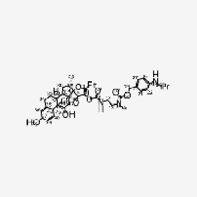 CCC(=O)O[C@]1(C(=O)COC(=O)NCCN(C)C(=O)OCc2ccc(NC(C)C)cc2)[C@@H](C)CC2[C@@H]3CCC4=CC(O)C=C[C@]4(C)[C@@]3(Cl)[C@@H](O)C[C@@]21C